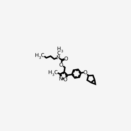 CCCCN(C)C(=O)OCc1c(C)noc1-c1ccc(OC2CC3CC3C2)cc1